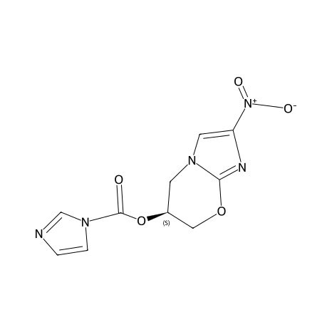 O=C(O[C@@H]1COc2nc([N+](=O)[O-])cn2C1)n1ccnc1